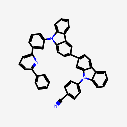 N#Cc1ccc(-n2c3ccccc3c3ccc(-c4ccc5c(c4)c4ccccc4n5-c4cccc(-c5cccc(-c6ccccc6)n5)c4)cc32)cc1